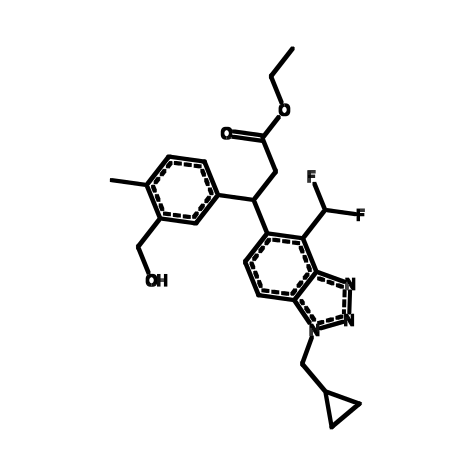 CCOC(=O)CC(c1ccc(C)c(CO)c1)c1ccc2c(nnn2CC2CC2)c1C(F)F